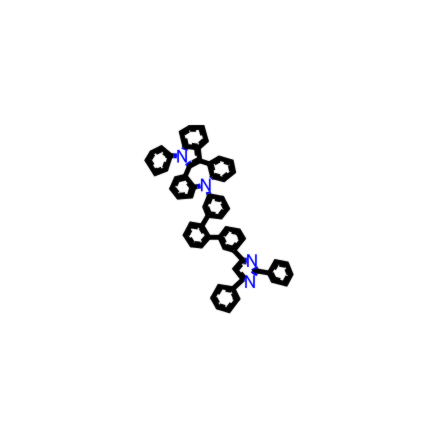 c1ccc(-c2cc(-c3cccc(-c4ccccc4-c4cccc(N5c6ccccc6-c6c(n(-c7ccccc7)c7ccccc67)-c6ccccc65)c4)c3)nc(-c3ccccc3)n2)cc1